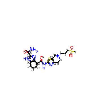 CS(=O)(=O)CCCN1CCc2nc(NC(=O)c3cccc4[nH]c(C(N)=O)nc34)sc2C1